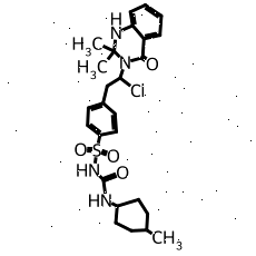 CC1CCC(NC(=O)NS(=O)(=O)c2ccc(CC(Cl)N3C(=O)c4ccccc4NC3(C)C)cc2)CC1